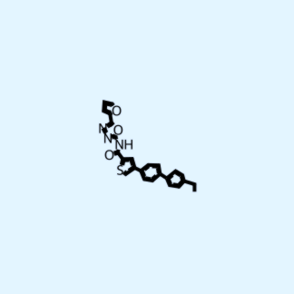 CCc1ccc(-c2ccc(-c3csc(C(=O)Nc4nnc(-c5ccco5)o4)c3)cc2)cc1